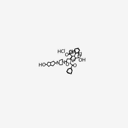 Cl.O=C(O)C1=CN(CC(=O)c2ccccc2)C(CC(=O)N2CCN(C3CC4CC(O)CC4C3)CC2)=C(C(=O)O)C1c1c(Cl)cccc1Cl